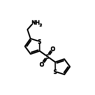 NCc1ccc(S(=O)(=O)c2cccs2)s1